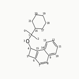 CC(C)(OC1Cc2ccc3ccccc3c21)C1CCCCC1